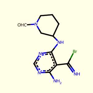 N=C(Br)c1c(N)ncnc1NC1CCCN(C=O)C1